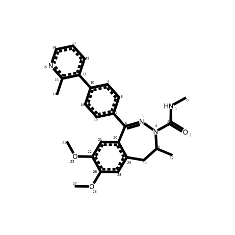 CNC(=O)N1N=C(c2ccc(-c3cccnc3C)cc2)c2cc(OC)c(OC)cc2CC1C